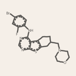 Fc1cc(Br)ccc1Nc1ncnc2sc3c(c12)CCC(CN1CCOCC1)C3